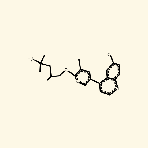 Cc1cc(-c2ccnc3ccc(Cl)cc23)cnc1OCC(C)CC(C)(C)N